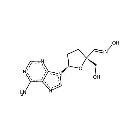 Nc1ncnc2c1ncn2[C@H]1CC[C@@](C=NO)(CO)O1